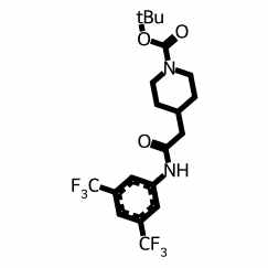 CC(C)(C)OC(=O)N1CCC(CC(=O)Nc2cc(C(F)(F)F)cc(C(F)(F)F)c2)CC1